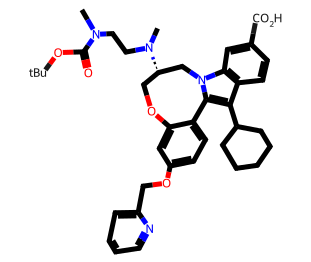 CN(CCN(C)[C@H]1COc2cc(OCc3ccccn3)ccc2-c2c(C3CCCCC3)c3ccc(C(=O)O)cc3n2C1)C(=O)OC(C)(C)C